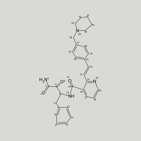 NC(=O)C(=O)C(Cc1ccccc1)NC(=O)c1cccnc1C=Cc1ccc(CN2CCCCC2)cc1